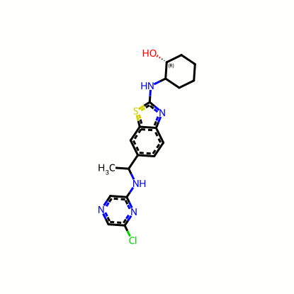 CC(Nc1cncc(Cl)n1)c1ccc2nc(NC3CCCC[C@H]3O)sc2c1